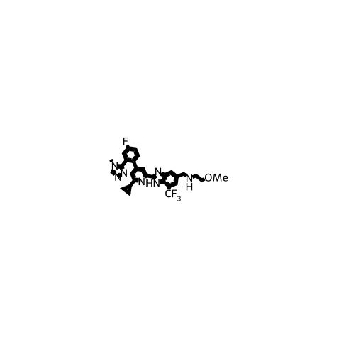 COCCNCc1cc(C(F)(F)F)c2[nH]c(-c3cc(-c4ccc(F)cc4-c4nncn4C)cc(C4CC4)n3)nc2c1